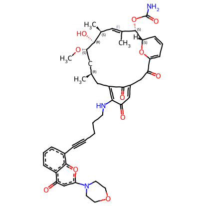 CO[C@H]1C[C@H](C)CC2=C(NCCCC#Cc3cccc4c(=O)cc(N5CCOCC5)oc34)C(=O)C=C(CC(=O)C3=CC=C[C@H](O3)[C@@H](OC(N)=O)/C(C)=C/[C@H](C)[C@H]1O)C2=O